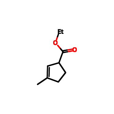 CCOC(=O)C1C=C(C)CC1